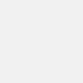 CN1CCN(C(=O)Cn2cc(NC(=O)c3cnn4cccnc34)c(-c3cc(Cl)ccc3OC(F)F)n2)C[C@@H]1CO